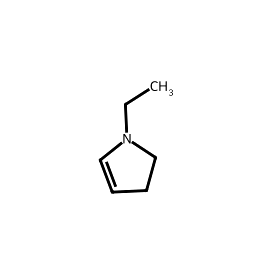 CCN1C=CCC1